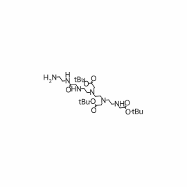 CC(C)(C)OC(=O)CNCCN(CCN(CCNCC(=O)NCCN)CC(=O)OC(C)(C)C)CC(=O)OC(C)(C)C